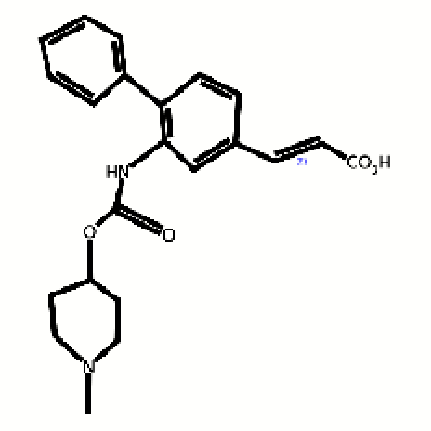 CN1CCC(OC(=O)Nc2cc(/C=C/C(=O)O)ccc2-c2ccccc2)CC1